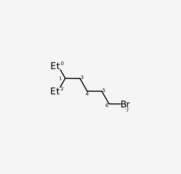 CCC(CC)CCCCBr